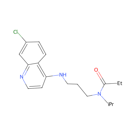 CCC(=O)N(CCCNc1ccnc2cc(Cl)ccc12)C(C)C